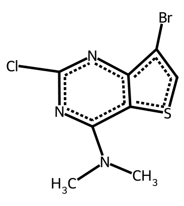 CN(C)c1nc(Cl)nc2c(Br)csc12